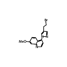 COc1ccc2c(-n3cc(CCBr)cn3)ccnc2c1